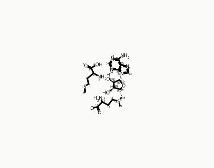 CSCCC(N)C(=O)O.C[S+](CCC(N)C(=O)[O-])C[C@H]1O[C@@H](n2cnc3c(N)ncnc32)[C@H](O)[C@@H]1O